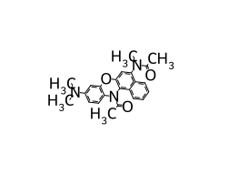 CC(=O)N(C)c1cc2c(c3ccccc13)N(C(C)=O)c1ccc(N(C)C)cc1O2